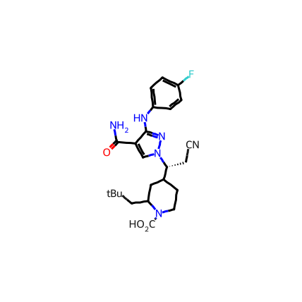 CC(C)(C)CC1CC([C@@H](CC#N)n2cc(C(N)=O)c(Nc3ccc(F)cc3)n2)CCN1C(=O)O